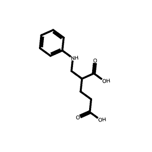 O=C(O)CCC(CNc1ccccc1)C(=O)O